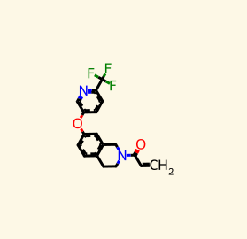 C=CC(=O)N1CCc2ccc(Oc3ccc(C(F)(F)F)nc3)cc2C1